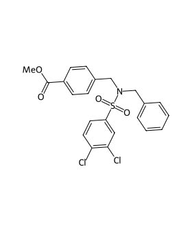 COC(=O)c1ccc(CN(Cc2ccccc2)S(=O)(=O)c2ccc(Cl)c(Cl)c2)cc1